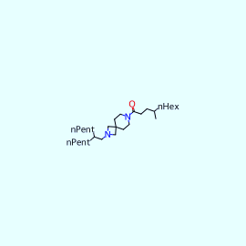 CCCCCCC(C)CCC(=O)N1CCC2(CC1)CN(CC(CCCCC)CCCCC)C2